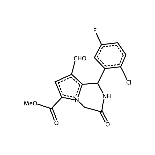 COC(=O)c1cc(C=O)c2n1CC(=O)NC2c1cc(F)ccc1Cl